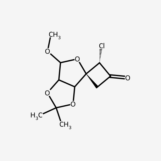 COC1O[C@@]2(CC(=O)[C@H]2Cl)C2OC(C)(C)OC12